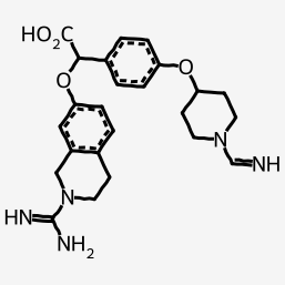 N=CN1CCC(Oc2ccc(C(Oc3ccc4c(c3)CN(C(=N)N)CC4)C(=O)O)cc2)CC1